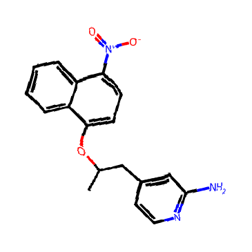 CC(Cc1ccnc(N)c1)Oc1ccc([N+](=O)[O-])c2ccccc12